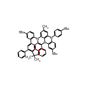 Cc1cc2c3c(c1)N(c1ccc(C(C)(C)C)cc1-c1cc(-c4ccccc4)cc(-c4ccccc4)c1)c1cc4c(cc1B3c1cc(C(C)(C)C)ccc1N2c1ccc(C(C)(C)C)cc1)CC(C)(C)C4